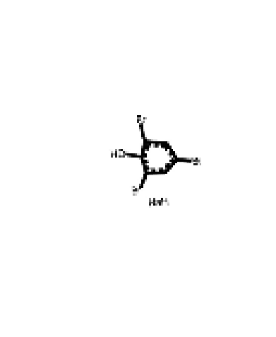 Oc1c(Br)cc(Br)cc1Br.[NaH]